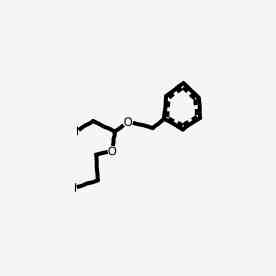 ICCOC(CI)OCc1ccccc1